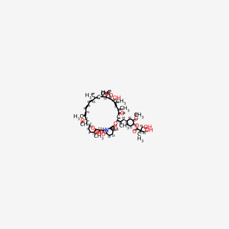 CO[C@H]1CC2CC[C@@H](C)[C@@](O)(O2)C(=O)C(=O)N2CCCC[C@H]2C(=O)O[C@H]([C@H](C)C[C@@H]2CC[C@@H](OC(=O)C(C)(CO)CO)[C@H](OC)C2)CC(=O)[C@H](C)/C=C(\C)[C@@H](O)[C@@H](OC)C(=O)[C@H](C)C[C@H](C)/C=C/C=C/C=C/1C